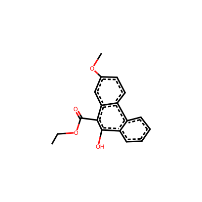 CCOC(=O)c1c(O)c2ccccc2c2ccc(OC)cc12